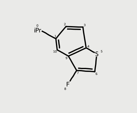 CC(C)c1ccc2scc(F)c2c1